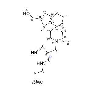 CSCCN/C=C(\C=N)CN1CCC2(C[C@@H]1C)OCCc1cc(CO)sc12